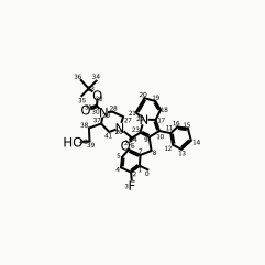 Cc1c(F)cccc1Cc1c(-c2ccccc2)c2ccccn2c1C(=O)N1CCN(C(=O)OC(C)(C)C)C(CCO)C1